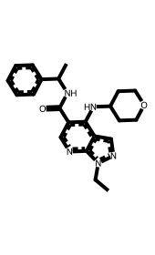 CCn1ncc2c(NC3CCOCC3)c(C(=O)NC(C)c3ccccc3)cnc21